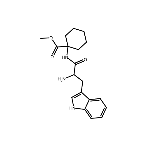 COC(=O)C1(NC(=O)C(N)Cc2c[nH]c3ccccc23)CCCCC1